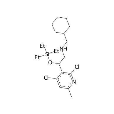 CC[Si](CC)(CC)OC(CNCC1CCCCC1)c1c(Cl)cc(C)nc1Cl